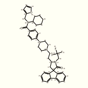 O=C(c1ccc(N2CCN(CCCCC3(C(=O)NCC(F)(F)F)c4ccccc4-c4ccccc43)CC2)cc1)N(Cc1ccco1)C1CCCCC1